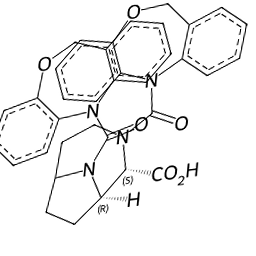 O=C(O)[C@@H]1[C@H]2CCC(CCN1C(=O)N1c3ccccc3COc3ccccc31)N2C(=O)N1c2ccccc2COc2ccccc21